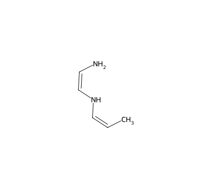 C/C=C\N/C=C\N